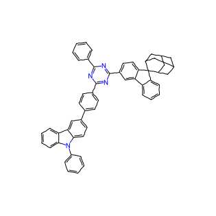 c1ccc(-c2nc(-c3ccc(-c4ccc5c(c4)c4ccccc4n5-c4ccccc4)cc3)nc(-c3ccc4c(c3)-c3ccccc3C43C4CC5CC(C4)CC3C5)n2)cc1